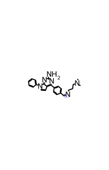 CN(C)CCC/N=C\c1ccc(-c2nc(N)nc3c2ccn3-c2ccccc2)cc1